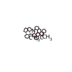 CC1(C)c2ccccc2-c2c(-c3ccccc3N(c3ccccc3-c3cccc4cccc(-c5ccccc5)c34)c3ccccc3-c3cccc4cccc(-c5ccccc5)c34)cccc21